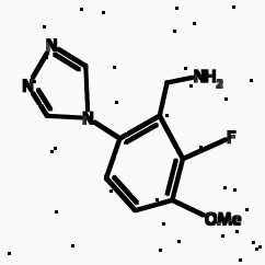 COc1ccc(-n2cnnc2)c(CN)c1F